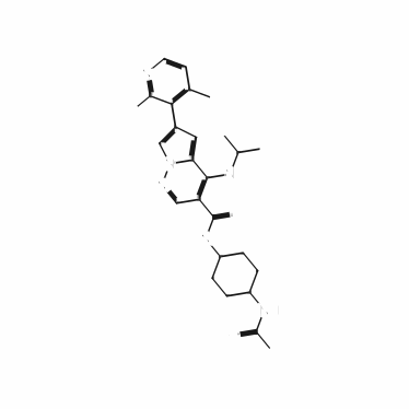 CC(=O)NC1CCC(NC(=O)c2cnn3cc(-c4c(C)ccnc4F)cc3c2NC(C)C)CC1